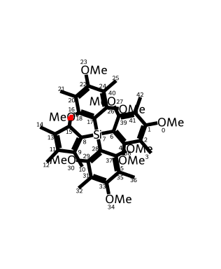 COc1c(C)c(OC)c([Si](C2=C(C)C(C)=C(C)C2C)(c2c(OC)c(C)c(OC)c(C)c2OC)c2c(OC)c(C)c(OC)c(C)c2OC)c(OC)c1C